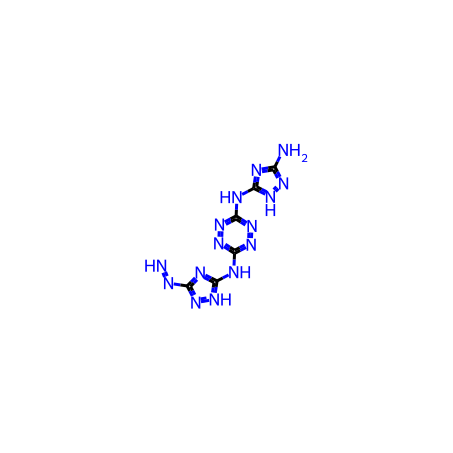 N=Nc1n[nH]c(Nc2nnc(Nc3nc(N)n[nH]3)nn2)n1